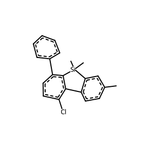 Cc1ccc2c(c1)[Si](C)(C)c1c(-c3ccccc3)ccc(Cl)c1-2